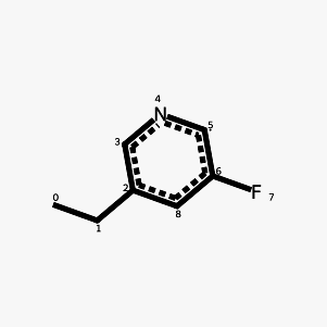 CCc1cn[c]c(F)c1